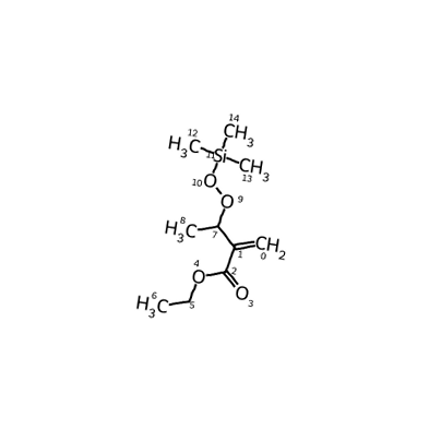 C=C(C(=O)OCC)C(C)OO[Si](C)(C)C